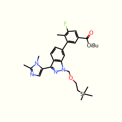 Cc1c(F)cc(C(=O)OCC(C)C)cc1-c1ccc2c(-c3cnc(C)n3C)nn(COCC[Si](C)(C)C)c2c1